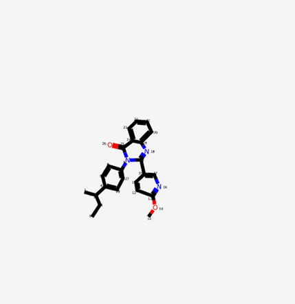 CCC(C)c1ccc(-n2c(-c3ccc(OC)nc3)nc3ccccc3c2=O)cc1